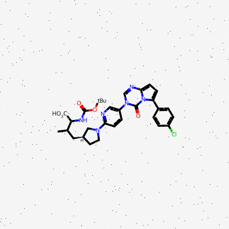 CC(C[C@@H]1CCN(c2ccc(-n3cnc4ccc(-c5ccc(Cl)cc5)n4c3=O)cn2)C1)C(NC(=O)OC(C)(C)C)C(=O)O